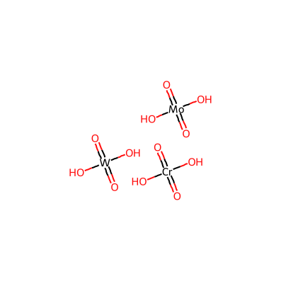 [O]=[Cr](=[O])([OH])[OH].[O]=[Mo](=[O])([OH])[OH].[O]=[W](=[O])([OH])[OH]